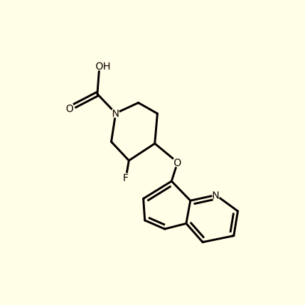 O=C(O)N1CCC(Oc2cccc3cccnc23)C(F)C1